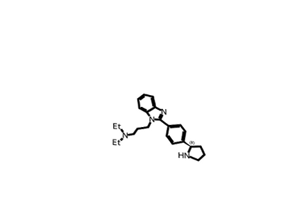 CCN(CC)CCCn1c(-c2ccc([C@H]3CCCN3)cc2)nc2ccccc21